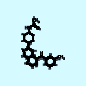 CC(=O)NC1CCN(c2ncc3ncnc(Nc4cccc(C)c4)c3n2)CC1